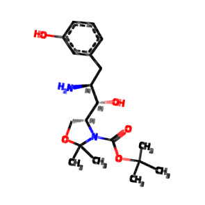 CC(C)(C)OC(=O)N1[C@@H]([C@@H](O)[C@@H](N)Cc2cccc(O)c2)COC1(C)C